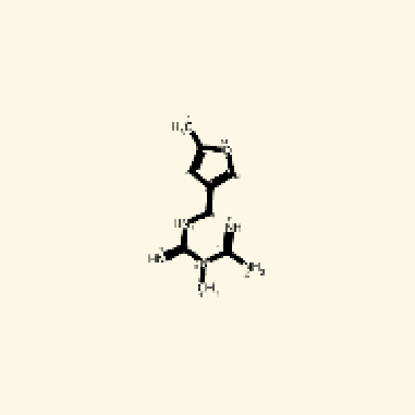 Cc1cc(CNC(=N)N(C)C(=N)N)co1